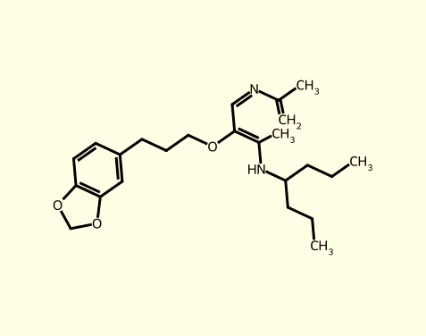 C=C(C)/N=C\C(OCCCc1ccc2c(c1)OCO2)=C(/C)NC(CCC)CCC